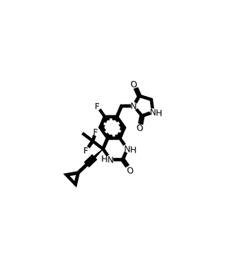 CC(F)(F)[C@@]1(C#CC2CC2)NC(=O)Nc2cc(CN3C(=O)CNC3=O)c(F)cc21